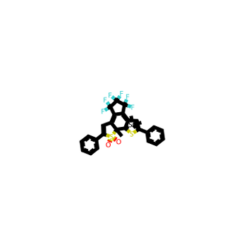 CC12C(=C3C(=C4C=C(c5ccccc5)SC41[Si](C)(C)C)C(F)(F)C(F)(F)C3(F)F)C=C(c1ccccc1)S2(=O)=O